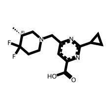 C[C@@H]1CN(Cc2cc(C(=O)O)nc(C3CC3)n2)CCC1(F)F